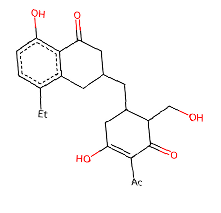 CCc1ccc(O)c2c1CC(CC1CC(O)=C(C(C)=O)C(=O)C1CO)CC2=O